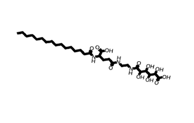 CCCCCCCCCCCCCCCC(=O)NC(CCC(=O)NCCNC(=O)C(O)C(O)C(O)C(O)C(=O)O)C(=O)O